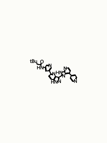 CC(C)(C)CC(=O)Nc1cncc(-c2ccc3[nH]nc(-c4nc5c(-c6ccncc6)ccnc5[nH]4)c3n2)c1